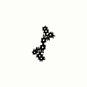 c1ccc2cc(-c3nc4ccc(-c5ccc6nc(-c7ccc8ccccc8c7)n7c8ccccc8nc7c6c5)cc4c4nc5ccccc5n34)ccc2c1